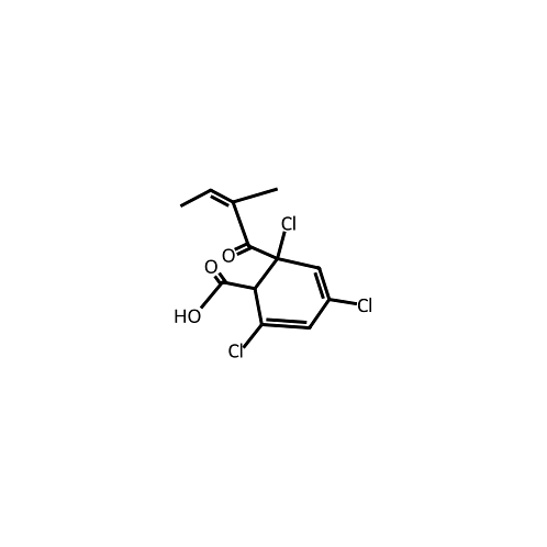 C/C=C(/C)C(=O)C1(Cl)C=C(Cl)C=C(Cl)C1C(=O)O